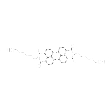 O=C1c2ccc3c4ccc5c6c(ccc(c7ccc(c2c37)C(=O)N1CCCCCCO)c64)C(=O)N(CCCCCCO)C5=O